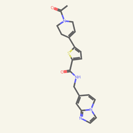 CC(=O)N1CC=C(c2ccc(C(=O)NCc3ccn4ccnc4c3)s2)CC1